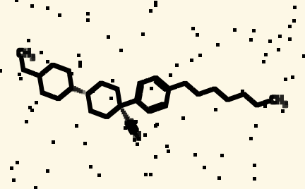 CCCCCCCc1ccc([C@]2(C#N)CC[C@@H](C3CCC(CC)CC3)CC2)cc1